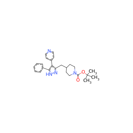 CC(C)(C)OC(=O)N1CCC(Cc2n[nH]c(-c3ccccc3)c2-c2ccncc2)CC1